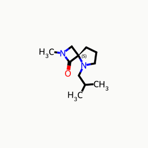 CC(C)CN1CCC[C@@]12CN(C)C2=O